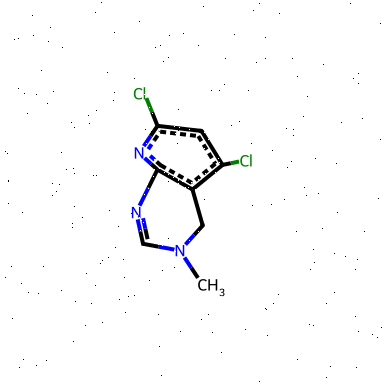 CN1C=Nc2nc(Cl)cc(Cl)c2C1